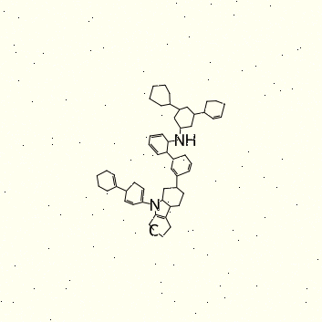 C1=CC(NC2CC(C3C=CCCC3)CC(C3CCCCC3)C2)C(C2C=C(C3CCC4C5=C(CCCC5)N(C5=CCC(C6=CCCCC6)C=C5)C4C3)C=CC2)C=C1